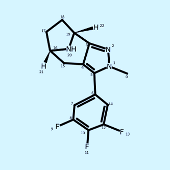 Cn1nc2c(c1-c1cc(F)c(F)c(F)c1)C[C@@H]1CC[C@H]2N1